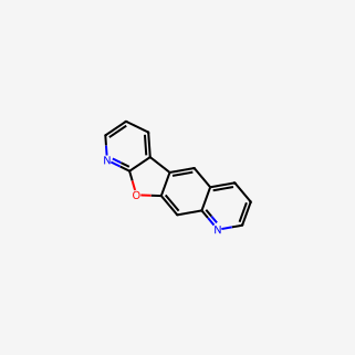 c1cnc2cc3oc4ncccc4c3cc2c1